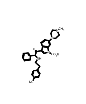 CN1CCN(c2ccc3c(C(=O)C(NCCc4ccc(C#N)cc4)c4ccccc4)cn(C(=O)O)c3c2)CC1